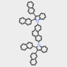 c1ccc2cc(-c3c(-c4ccc5ccccc5c4)n(-c4ccc5c(ccc6cc(-n7c(-c8ccc9ccccc9c8)c(-c8ccc9ccccc9c8)c8ccccc87)ccc65)c4)c4ccccc34)ccc2c1